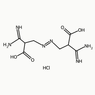 Cl.N=C(N)C(CN=NCC(C(=N)N)C(=O)O)C(=O)O